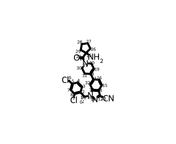 C[C@H](c1ccc(Cl)cc1Cl)n1nc(C#N)c2ccc(C3=CCN(C(=O)C4(N)CCCC4)CC3)cc21